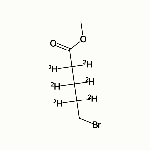 [2H]C([2H])(CBr)C([2H])([2H])C([2H])([2H])C(=O)OC